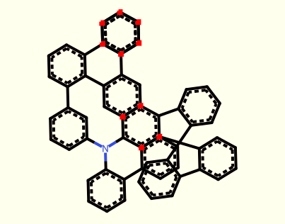 c1ccc(-c2ccccc2-c2c(-c3ccccc3)cccc2-c2cccc(N(c3ccc4c(c3)C3(c5ccccc5-c5ccccc53)c3ccccc3-4)c3ccccc3-c3ccccc3)c2)cc1